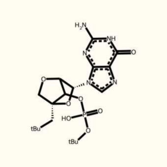 CC(C)(C)C[C@]12COC(C1OP(=O)(O)OC(C)(C)C)[C@H](n1cnc3c(=O)[nH]c(N)nc31)O2